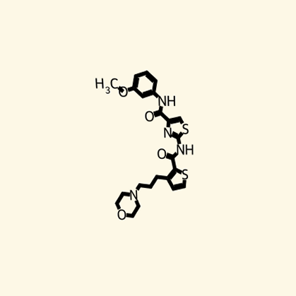 COc1cccc(NC(=O)c2csc(NC(=O)c3sccc3CCCN3CCOCC3)n2)c1